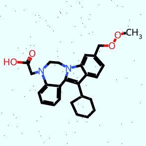 COOCc1ccc2c(C3CCCCC3)c3n(c2c1)CCN(CC(=O)O)c1ccccc1-3